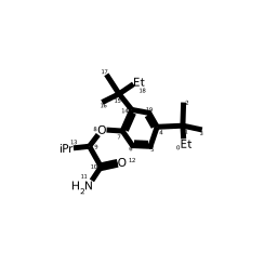 CCC(C)(C)c1ccc(OC(C(N)=O)C(C)C)c(C(C)(C)CC)c1